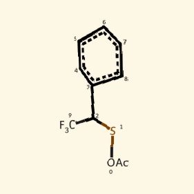 CC(=O)OSC(c1ccccc1)C(F)(F)F